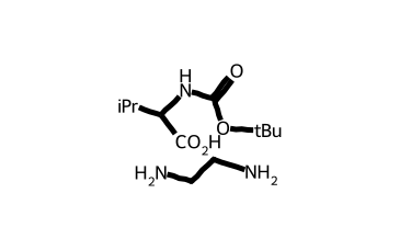 CC(C)C(NC(=O)OC(C)(C)C)C(=O)O.NCCN